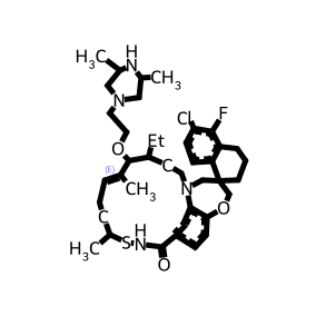 CCC1CCN2CC3(CCCc4c3ccc(Cl)c4F)COc3ccc(cc32)C(=O)NSC(C)CC/C=C(\C)C1OCCN1CC(C)NC(C)C1